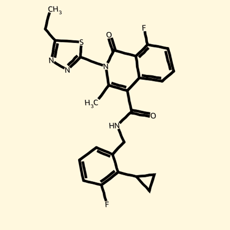 CCc1nnc(-n2c(C)c(C(=O)NCc3cccc(F)c3C3CC3)c3cccc(F)c3c2=O)s1